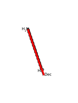 CCCCCCCCCCCCCCCCNC(=O)CCOCCOCCOCCOCCOCCOCCOCCOCCOCCOCCOCCOCCOCCOCCOCCOCCOCCOCCOCCOCCOCCOCCOCCOCCN